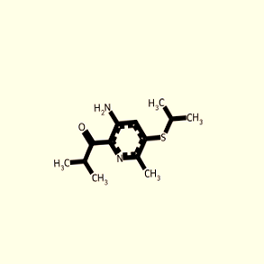 Cc1nc(C(=O)C(C)C)c(N)cc1SC(C)C